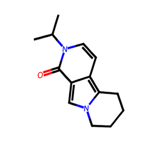 CC(C)n1ccc2c3n(cc2c1=O)CCCC3